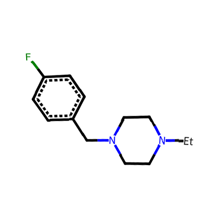 CCN1CCN(Cc2ccc(F)cc2)CC1